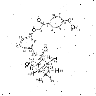 COc1ccc(C(=O)COc2cccc(N3C(=O)[C@@H]4[C@@H]5C=C[C@@H]([C@H]6C[C@@H]56)[C@@H]4C3=O)c2)cc1